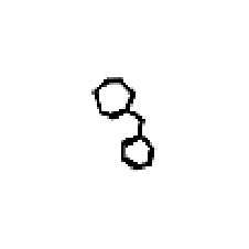 C1=C(Cc2ccccc2)CCCCC1